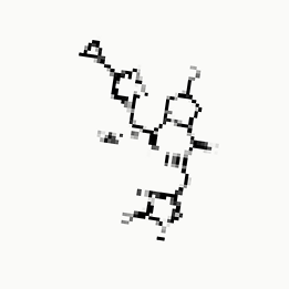 CC(C)(C)[C@@H](C(=O)N1CC(O)CC1C(=O)NCc1c[nH]c(=O)[nH]1)n1cc(C2CC2)nn1